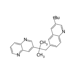 CC(C)(C)c1cnc2ccc(CC(C)(C)c3cnc4cccnc4c3)cc2c1